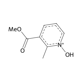 COC(=O)c1ccc[n+](O)c1C